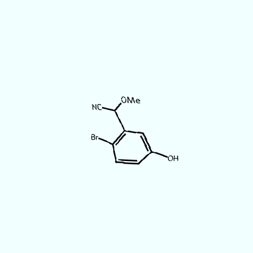 COC(C#N)c1cc(O)ccc1Br